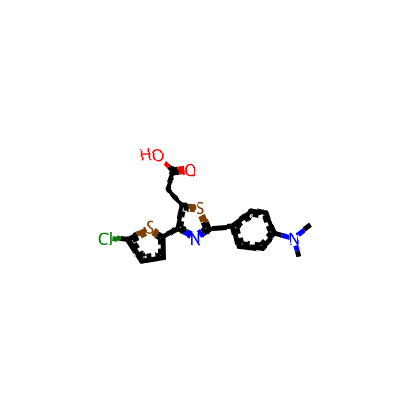 CN(C)c1ccc(-c2nc(-c3ccc(Cl)s3)c(CC(=O)O)s2)cc1